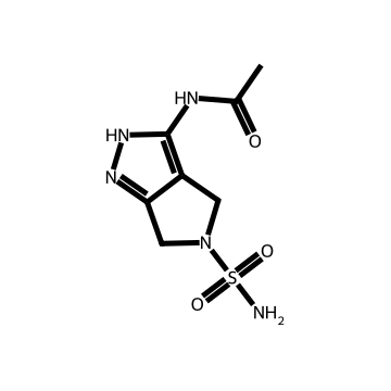 CC(=O)Nc1[nH]nc2c1CN(S(N)(=O)=O)C2